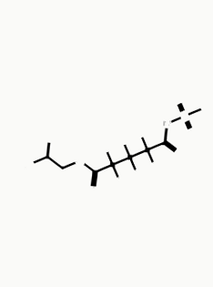 CS(=O)(=O)NC(=O)C(F)(F)C(F)(F)C(F)(F)C(=O)OCC(F)S(=O)(=O)O